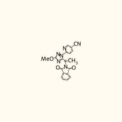 COc1nc([C@H](C)N2C(=O)c3ccccc3C2=O)n(-c2ccc(C#N)cn2)n1